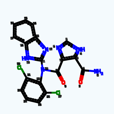 NC(=O)c1[nH]cnc1C(=O)N(c1nc2ccccc2[nH]1)c1c(Cl)cccc1Cl